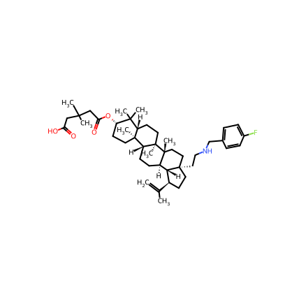 C=C(C)[C@@H]1CC[C@]2(CCNCc3ccc(F)cc3)CC[C@]3(C)[C@H](CC[C@@H]4[C@@]5(C)CC[C@H](OC(=O)CC(C)(C)CC(=O)O)C(C)(C)[C@@H]5CC[C@]43C)[C@@H]12